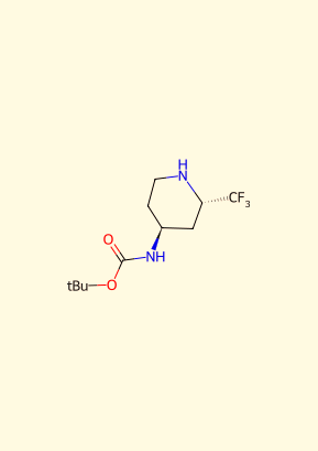 CC(C)(C)OC(=O)N[C@H]1CCN[C@H](C(F)(F)F)C1